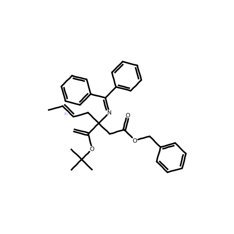 C=C(OC(C)(C)C)C(C/C=C/C)(CC(=O)OCc1ccccc1)N=C(c1ccccc1)c1ccccc1